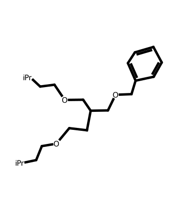 CC(C)CCOCCC(COCCC(C)C)COCc1ccccc1